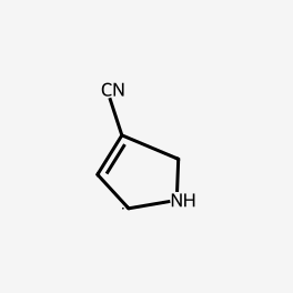 N#CC1=C[CH]NC1